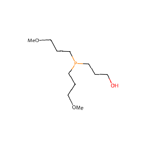 COCCCP(CCCO)CCCOC